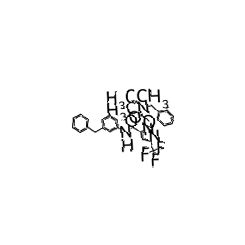 CC(C)(C)N(Cc1ccccc1)C(=O)On1nc(C(F)(F)F)cc1C(=O)Nc1cccc(Cc2ccccc2)c1